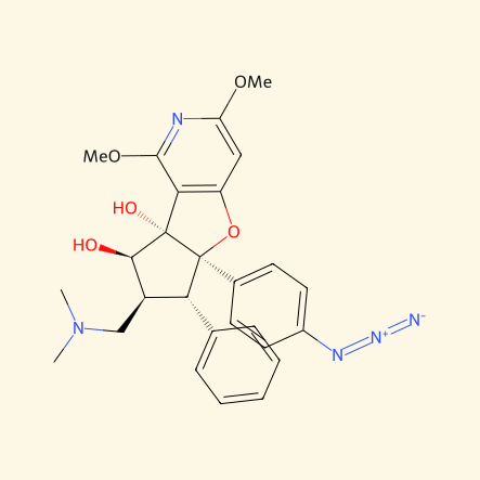 COc1cc2c(c(OC)n1)[C@]1(O)[C@H](O)[C@H](CN(C)C)[C@@H](c3ccccc3)[C@]1(c1ccc(N=[N+]=[N-])cc1)O2